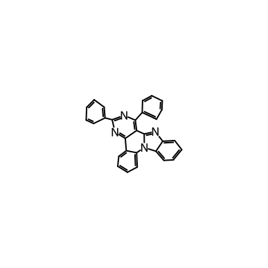 c1ccc(-c2nc(-c3ccccc3)c3c(n2)c2ccccc2n2c4ccccc4nc32)cc1